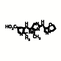 Cc1ncc(C(=O)O)cc1Nc1nn(C)c2nc(Nc3cnn4c3OCCC4)ncc12